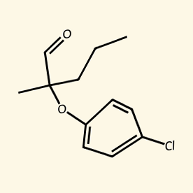 CCCC(C)(C=O)Oc1ccc(Cl)cc1